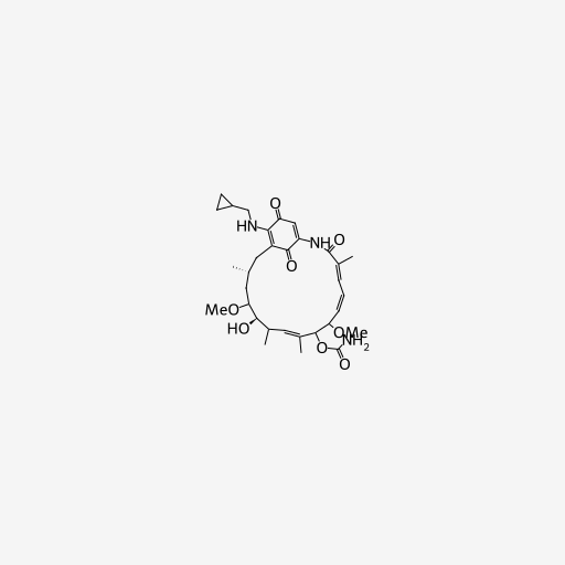 COC1/C=C\C=C(/C)C(=O)NC2=CC(=O)C(NCC3CC3)=C(C[C@@H](C)CC(OC)[C@H](O)C(C)/C=C(\C)C1OC(N)=O)C2=O